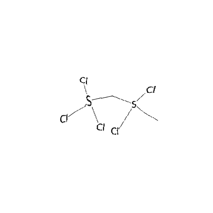 CS(Cl)(Cl)CS(Cl)(Cl)Cl